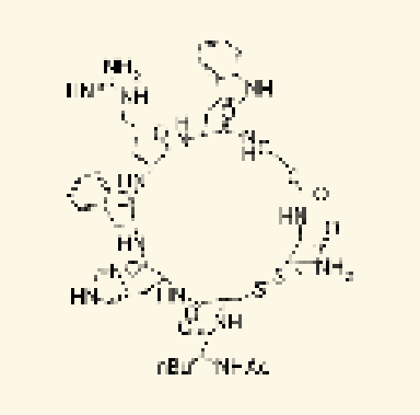 CCCC[C@H](NC(C)=O)C(=O)N[C@H]1CSSC(C)(C)[C@@H](C(N)=O)NC(=O)CCCNC(=O)[C@H](Cc2c[nH]c3ccccc23)NC(=O)[C@H](CCCNC(=N)N)NC(=O)[C@@H](Cc2ccccc2)NC(=O)[C@H](Cc2c[nH]cn2)NC1=O